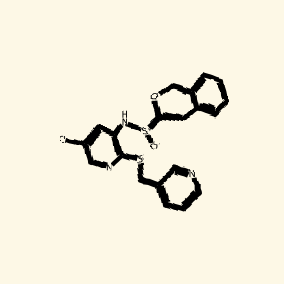 [O-][S+](Nc1cc(Cl)cnc1SCc1cccnc1)C1=Cc2ccccc2CO1